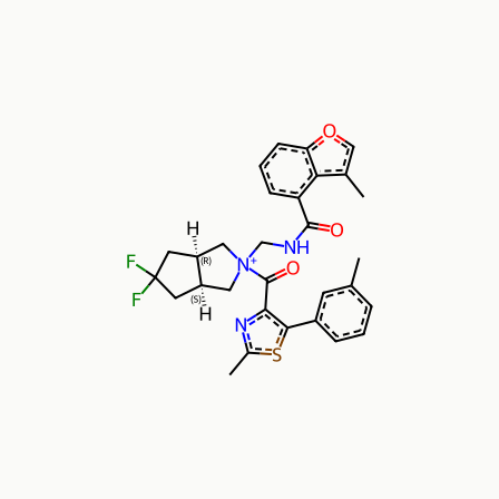 Cc1cccc(-c2sc(C)nc2C(=O)[N+]2(CNC(=O)c3cccc4occ(C)c34)C[C@H]3CC(F)(F)C[C@H]3C2)c1